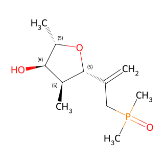 C=C(CP(C)(C)=O)[C@H]1O[C@@H](C)[C@H](O)[C@@H]1C